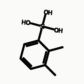 Cc1cccc([Si](O)(O)O)c1C